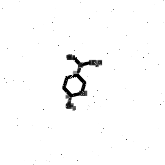 C[C@@H]1CC[C@H](N(C(=O)O)C(C)(C)C)CN1